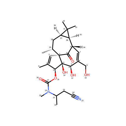 CC1=C[C@]23C(=O)[C@@H](C=C(CO)[C@@H](O)[C@]2(O)[C@H]1OC(=O)N(C)C(C)CC#N)[C@H]1[C@@H](C[C@H]3C)C1(C)C